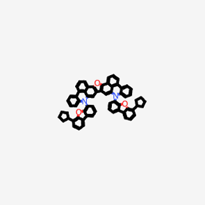 c1cc(C2CCCC2)c2oc3c(-n4c5ccccc5c5cccc6c7oc8c(cc9c%10c(cccc8%10)c8ccccc8n9-c8cccc9c8oc8c(C%10CCCC%10)cccc89)c7cc4c56)cccc3c2c1